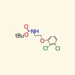 CC(C)(C)OC(=O)NCCOc1cccc(Cl)c1Cl